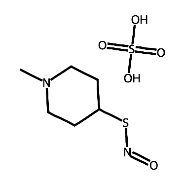 CN1CCC(SN=O)CC1.O=S(=O)(O)O